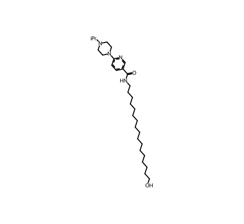 CC(C)N1CCN(c2ccc(C(=O)NCCCCCCCCCCCCCCCCCO)cn2)CC1